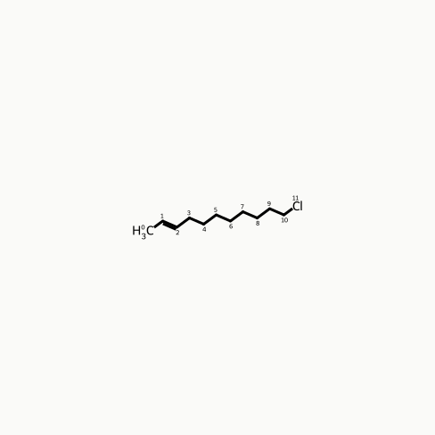 C/C=C/CCCCCCCCCl